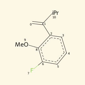 C=C(c1cccc(F)c1OC)C(C)C